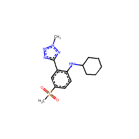 Cn1nnc(-c2cc(S(C)(=O)=O)ccc2NC2CCCCC2)n1